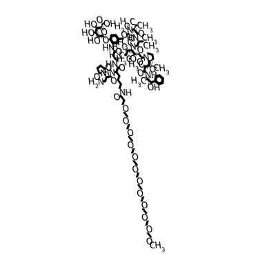 CC[C@H](C)[C@@H]([C@@H](CC(=O)N1CCC[C@H]1[C@H](OC)[C@@H](C)C(=O)N[C@H](C)[C@@H](O)c1ccccc1)OC)N(C)C(=O)C(NC(=O)[C@H](C(C)C)N(C)C(=O)OCc1ccc(O[C@@H]2O[C@H](C(=O)O)[C@@H](O)[C@H](O)[C@H]2O)c(NC(=O)CCNC(=O)C(CCCCNC(=O)CCOCCOCCOCCOCCOCCOCCOCCOCCOCCOCCOCCOC)NC(=O)C(CN)N2C(=O)CCC2=O)c1)C(C)C